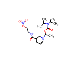 CC(OC(=O)N(C(C)C)C(C)C)N1C=CC=C(C(=O)NCCO[N+](=O)[O-])C1